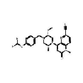 CC[C@@H]1CN(c2cc(=O)n(C)c3ccc(C#N)nc23)[C@@H](C)CN1Cc1ccc(OC(F)F)cc1